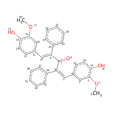 COc1cc(C=C(C(=O)C(=Cc2ccc(O)c(OC)c2)c2ccccc2)c2ccccc2)ccc1O